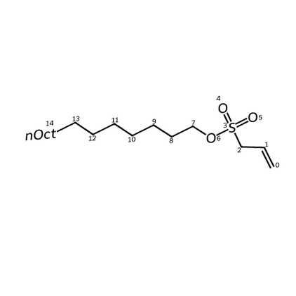 C=CCS(=O)(=O)OCCCCCCCCCCCCCCC